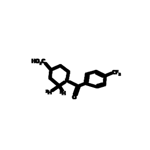 [2H]C1([2H])CC(C(=O)O)CCN1C(=O)c1ccc(C(F)(F)F)cc1